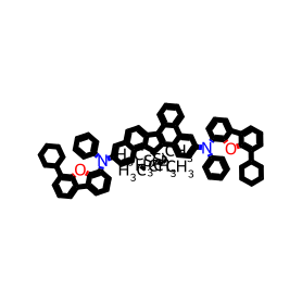 C[Si](C)(C)C1([Si](C)(C)C)c2c(ccc3cc(N(c4ccccc4)c4cccc5c4oc4c(C6CCCCC6)cccc45)ccc23)-c2c1c1ccc(N(c3ccccc3)c3cccc4c3oc3c(C5CCCCC5)cccc34)cc1c1ccccc21